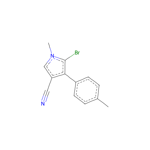 Cc1ccc(-c2c(C#N)cn(C)c2Br)cc1